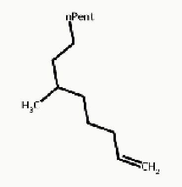 C=CCCCC(C)CCCCCCC